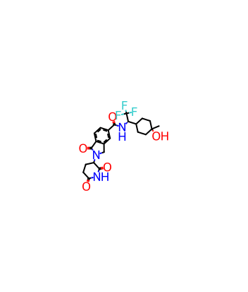 CC1(O)CCC([C@@H](NC(=O)c2ccc3c(c2)CN(C2CCC(=O)NC2=O)C3=O)C(F)(F)F)CC1